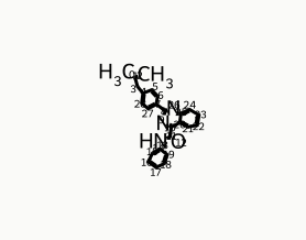 CC(C)Cc1ccc(-c2nc(C(=O)Nc3ccccc3)c3ccccc3n2)cc1